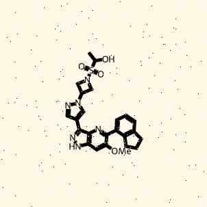 COc1cc2[nH]nc(-c3cnn(C4CN(S(=O)(=O)C(C)O)C4)c3)c2nc1-c1cccc2c1CCC2